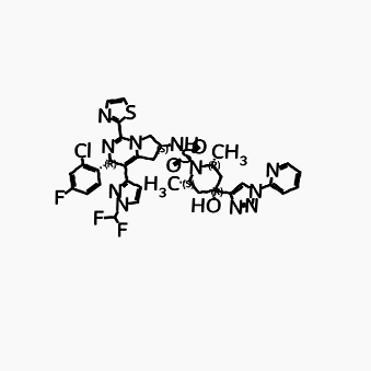 C[C@@H]1C[C@@](O)(c2cn(-c3ccccn3)nn2)C[C@H](C)N1S(=O)(=O)N[C@H]1CC2=C(c3ccn(C(F)F)n3)[C@H](c3ccc(F)cc3Cl)N=C(c3nccs3)N2C1